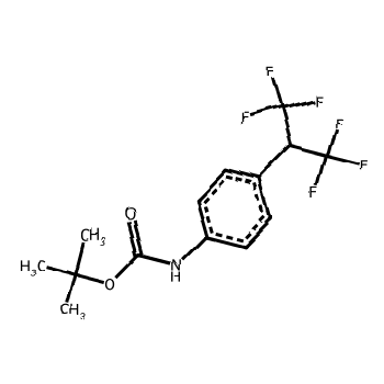 CC(C)(C)OC(=O)Nc1ccc(C(C(F)(F)F)C(F)(F)F)cc1